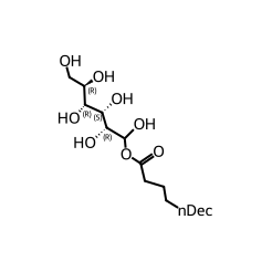 CCCCCCCCCCCCCC(=O)OC(O)[C@H](O)[C@@H](O)[C@H](O)[C@H](O)CO